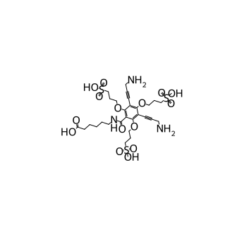 NCC#Cc1c(OCCCS(=O)(=O)O)c(C#CCN)c(OCCCS(=O)(=O)O)c(C(=O)NCCCCCC(=O)O)c1OCCCS(=O)(=O)O